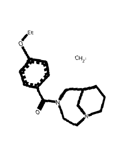 CCOc1ccc(C(=O)N2CCN3CCCC(C3)C2)cc1.[CH2]